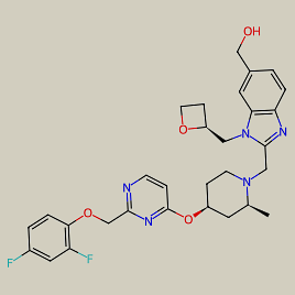 C[C@H]1C[C@@H](Oc2ccnc(COc3ccc(F)cc3F)n2)CCN1Cc1nc2ccc(CO)cc2n1C[C@@H]1CCO1